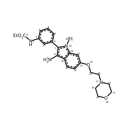 CCOC(=O)Nc1cccc(-c2c(N)c3ccc(OCCN4CCOCC4)cc3n2CC)c1